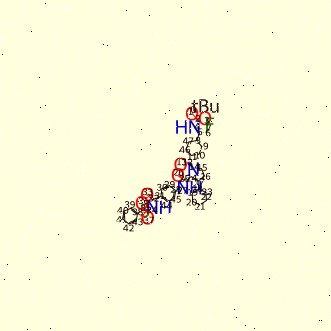 CC(C)(C)OC(=O)N[C@H](CF)[C@H]1CC[C@H](C(=O)N2CC[C@@H](C3CCCCC3)[C@H]2C(=O)Nc2ccc(C(=O)NS(=O)(=O)c3ccccc3)cc2)CC1